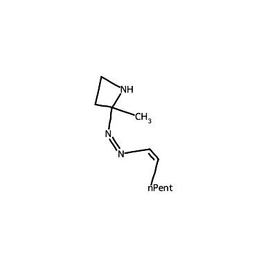 CCCCC/C=C\N=N/C1(C)CCN1